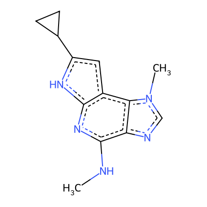 CNc1nc2[nH]c(C3CC3)cc2c2c1ncn2C